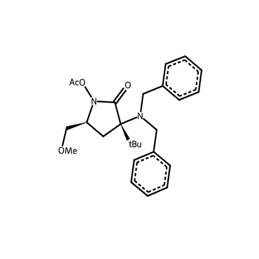 COC[C@@H]1C[C@](N(Cc2ccccc2)Cc2ccccc2)(C(C)(C)C)C(=O)N1OC(C)=O